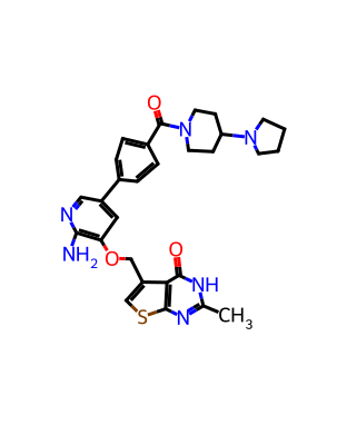 Cc1nc2scc(COc3cc(-c4ccc(C(=O)N5CCC(N6CCCC6)CC5)cc4)cnc3N)c2c(=O)[nH]1